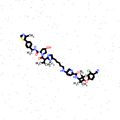 Cc1ncsc1-c1ccc([C@H](C)NC(=O)[C@@H]2C[C@@H](O)CN2C(=O)C(c2ncc(CCCCCNc3ccc(C(=O)NC4C(C)(C)C(Oc5ccc(C#N)c(Cl)c5)C4(C)C)nc3)n2C)C(C)C)cc1